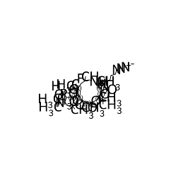 CC[C@H]1OC(=O)[C@H](C)C(=O)[C@H](C)[C@@H](O[C@@H]2OC(C)CC(N(C)C)C2P=O)[C@](C)(OC)CC(C)(F)CN[C@H](C)[C@H]2N(CCCCN=[N+]=[N-])C(=O)O[C@]12C